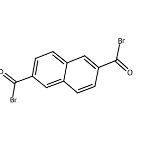 O=C(Br)c1ccc2cc(C(=O)Br)ccc2c1